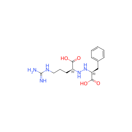 N=C(N)NCCC[C@H](NN[C@@H](Cc1ccccc1)C(=O)O)C(=O)O